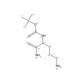 CC(C)(C)OC(=O)NC(CCCN)C(N)=O